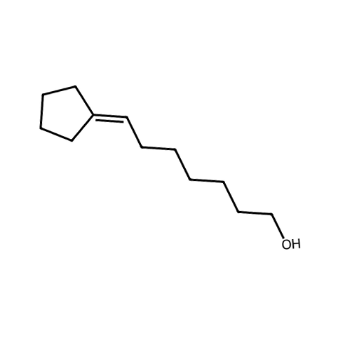 OCCCCCCC=C1CCCC1